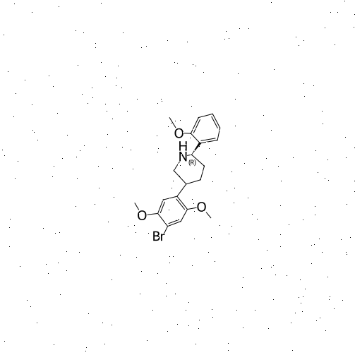 COc1cc(C2CC[C@H](c3ccccc3OC)NC2)c(OC)cc1Br